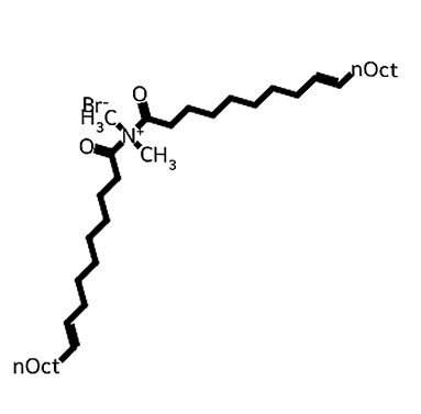 CCCCCCCCC=CCCCCCCCC(=O)[N+](C)(C)C(=O)CCCCCCCC=CCCCCCCCC.[Br-]